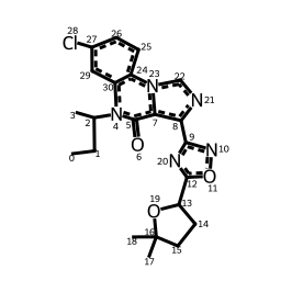 CCC(C)n1c(=O)c2c(-c3noc(C4CCC(C)(C)O4)n3)ncn2c2ccc(Cl)cc21